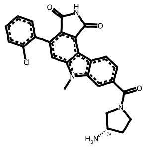 Cn1c2cc(C(=O)N3CC[C@H](N)C3)ccc2c2c3c(c(-c4ccccc4Cl)cc21)C(=O)NC3=O